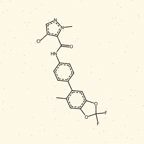 Cc1cc2c(cc1-c1ccc(NC(=O)c3c(Cl)cnn3C)cc1)OC(F)(F)O2